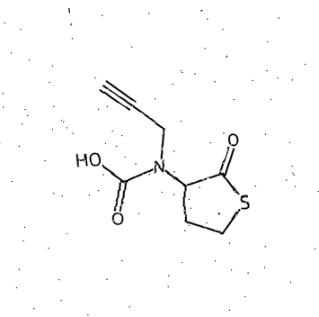 C#CCN(C(=O)O)C1CCSC1=O